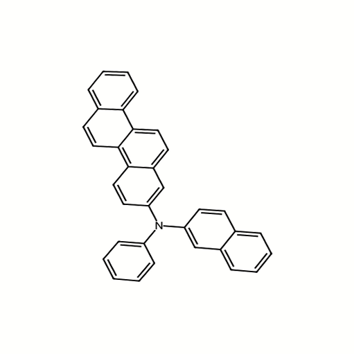 c1ccc(N(c2ccc3ccccc3c2)c2ccc3c(ccc4c5ccccc5ccc34)c2)cc1